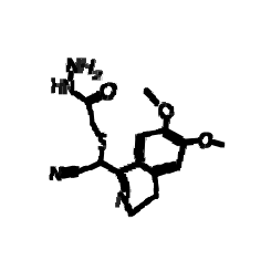 COc1cc2c(cc1OC)C(C(C#N)SCC(=O)NN)=NCC2